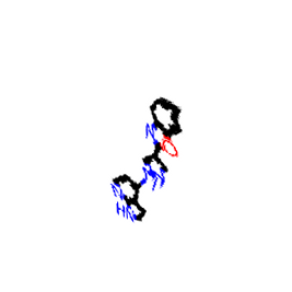 c1ccc2oc(-c3cnn(-c4ccnc5[nH]ccc45)c3)nc2c1